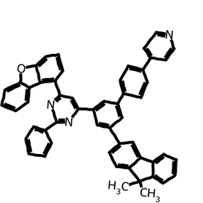 CC1(C)c2ccccc2-c2cc(-c3cc(-c4ccc(-c5ccncc5)cc4)cc(-c4cc(-c5cccc6oc7ccccc7c56)nc(-c5ccccc5)n4)c3)ccc21